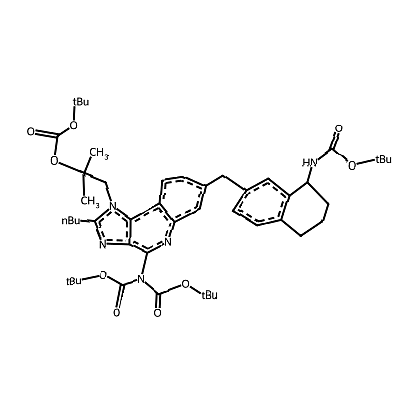 CCCCc1nc2c(N(C(=O)OC(C)(C)C)C(=O)OC(C)(C)C)nc3cc(Cc4ccc5c(c4)C(NC(=O)OC(C)(C)C)CCC5)ccc3c2n1CC(C)(C)OC(=O)OC(C)(C)C